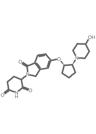 O=C1CCC(N2Cc3cc(O[C@@H]4CCC[C@@H]4N4CCC(O)CC4)ccc3C2=O)C(=O)N1